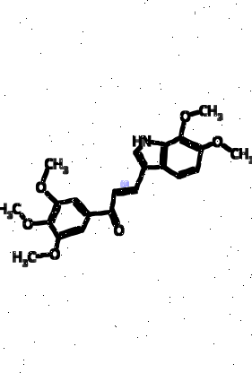 COc1cc(C(=O)/C=C/c2c[nH]c3c(OC)c(OC)ccc23)cc(OC)c1OC